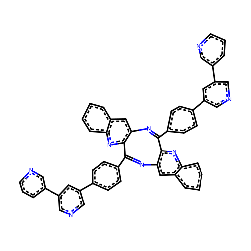 c1cncc(-c2cncc(-c3ccc(/C4=N/c5cc6ccccc6nc5/C(c5ccc(-c6cncc(-c7cccnc7)c6)cc5)=N\c5cc6ccccc6nc54)cc3)c2)c1